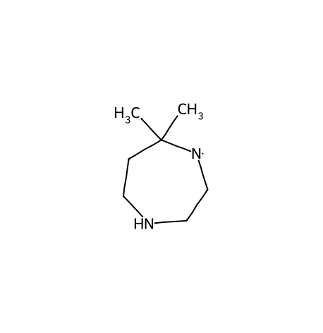 CC1(C)CCNCC[N]1